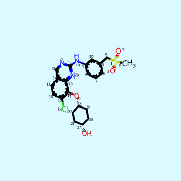 CS(=O)(=O)Cc1cccc(Nc2ncc3ccc(Cl)c(O[C@H]4CC[C@@H](O)CC4)c3n2)c1